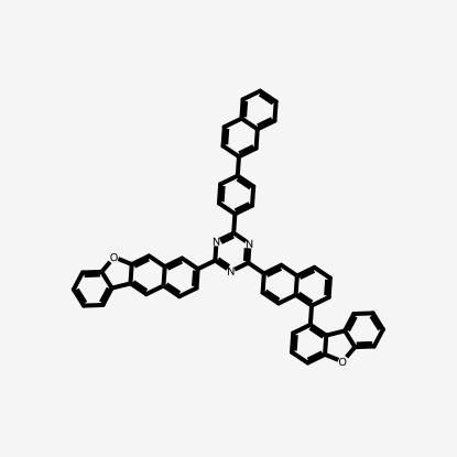 c1ccc2cc(-c3ccc(-c4nc(-c5ccc6cc7c(cc6c5)oc5ccccc57)nc(-c5ccc6c(-c7cccc8oc9ccccc9c78)cccc6c5)n4)cc3)ccc2c1